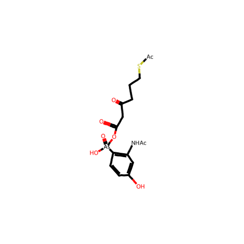 CC(=O)Nc1cc(O)ccc1[As](=O)(O)OC(=O)CC(=O)CCCSC(C)=O